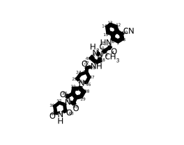 CC(C)(C(=O)Nc1ccc(C#N)c2ccccc12)n1cc(NC(=O)C2CCN(c3ccc4c(c3)C(=O)N(C3CCC(=O)NC3=O)C4=O)CC2)cn1